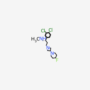 CNC[C@@H](CCN1CC(N2CCC(F)CC2)C1)c1ccc(Cl)c(Cl)c1